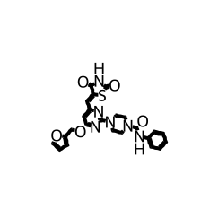 O=C1NC(=O)C(=Cc2cc(OCc3ccco3)nc(N3CCN(C(=O)Nc4ccccc4)CC3)n2)S1